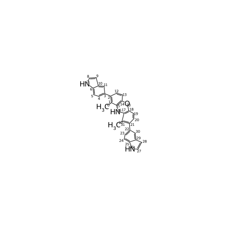 Cc1c(-c2ccc3[nH]ccc3c2)ccc2c1Nc1c(ccc(-c3ccc4[nH]ccc4c3)c1C)O2